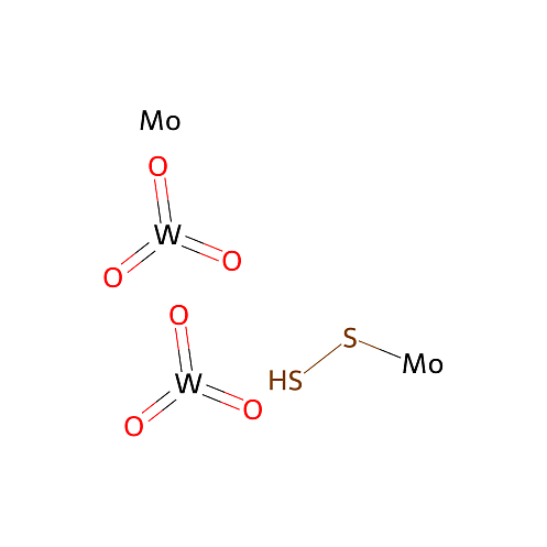 S[S][Mo].[Mo].[O]=[W](=[O])=[O].[O]=[W](=[O])=[O]